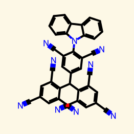 N#Cc1cc(C#N)c(C(c2cc(C#N)c(-n3c4ccccc4c4ccccc43)c(C#N)c2)c2c(C#N)cc(C#N)cc2C#N)c(C#N)c1